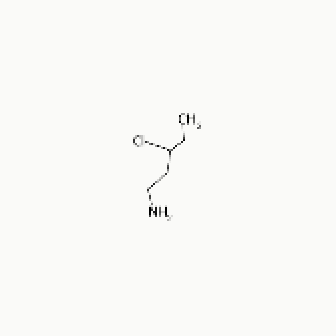 CCC(Cl)CCN